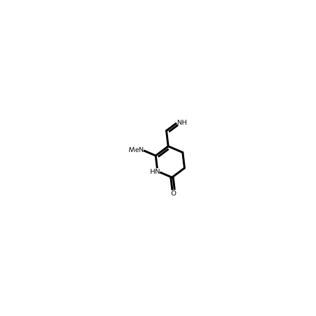 CNC1=C(C=N)CCC(=O)N1